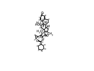 C[C@@H]1C[C@H]2[C@@H]3CCC4=CC(=O)C=C[C@]4(C)C3(F)[C@@H](O)C[C@]2(C)[C@@]1(OC(=O)C1CC1)C(=O)COC(=O)C1CCCCC1